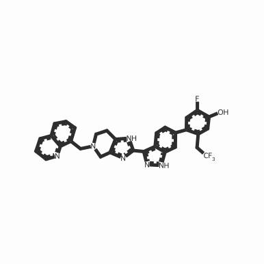 Oc1cc(CC(F)(F)F)c(-c2ccc3c(-c4nc5c([nH]4)CCN(Cc4cccc6cccnc46)C5)n[nH]c3c2)cc1F